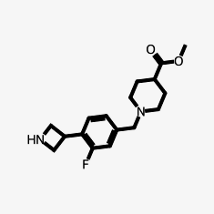 COC(=O)C1CCN(Cc2ccc(C3CNC3)c(F)c2)CC1